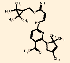 CC1=CC(C)(C)N(c2nc(N/C=C\C(=N)OCC3C(C)(C)C3(C)C)ccc2C(N)=O)C1